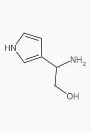 N[C](CO)c1cc[nH]c1